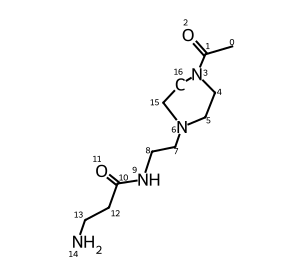 CC(=O)N1CCN(CCNC(=O)CCN)CC1